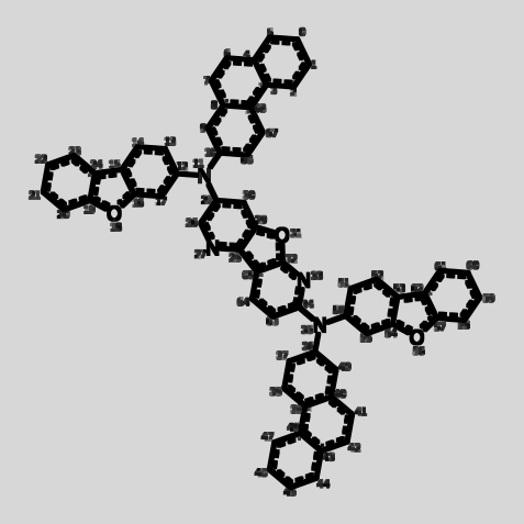 c1ccc2c(c1)ccc1cc(N(c3ccc4c(c3)oc3ccccc34)c3cnc4c(c3)oc3nc(N(c5ccc6c(ccc7ccccc76)c5)c5ccc6c(c5)oc5ccccc56)ccc34)ccc12